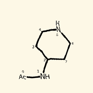 [CH2]C(=O)NC1CCNCC1